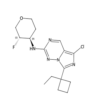 CCC1(c2nc(Cl)c3cnc(N[C@@H]4CCOC[C@H]4F)nn23)CCC1